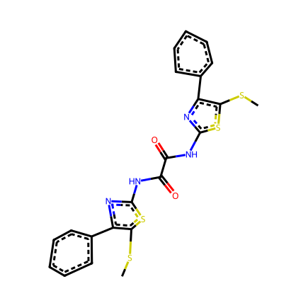 CSc1sc(NC(=O)C(=O)Nc2nc(-c3ccccc3)c(SC)s2)nc1-c1ccccc1